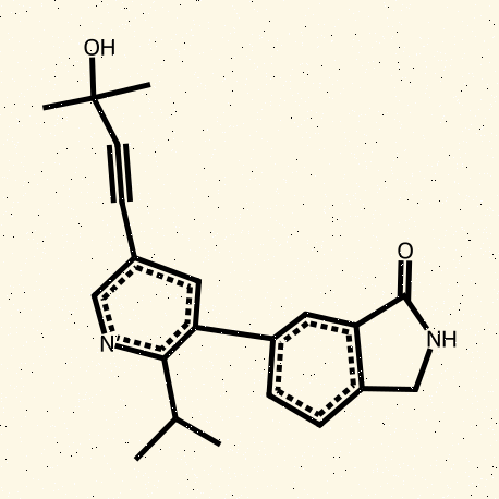 CC(C)c1ncc(C#CC(C)(C)O)cc1-c1ccc2c(c1)C(=O)NC2